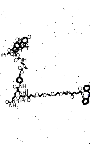 CCCC1O[C@@H]2C[C@H]3[C@@H]4C[C@H](F)C5=CC(=O)C=C[C@]5(C)[C@@]4(F)[C@@H](O)C[C@]3(C)[C@]2(C(=O)COC(=O)NCCN(C)C(=O)OCc2ccc(NC(=O)[C@H](CCCNC(N)=O)NC(=O)[C@@H](NC(=O)CCOCCOCCOCCOCCNC(=O)CCC(=O)N3Cc4ccccc4/C=C\c4ccccc43)C(C)C)cc2)O1